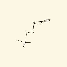 CC(C)(C)SSN=[N+]=[N-]